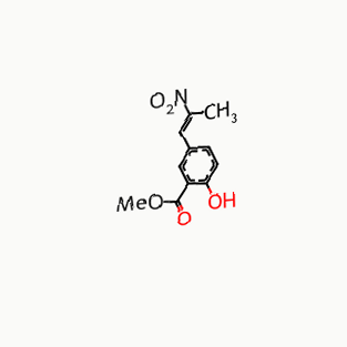 COC(=O)c1cc(C=C(C)[N+](=O)[O-])ccc1O